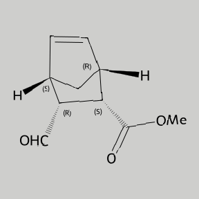 COC(=O)[C@@H]1[C@H](C=O)[C@@H]2C=C[C@H]1C2